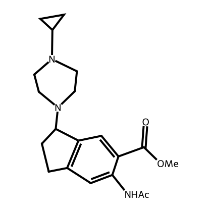 COC(=O)c1cc2c(cc1NC(C)=O)CCC2N1CCN(C2CC2)CC1